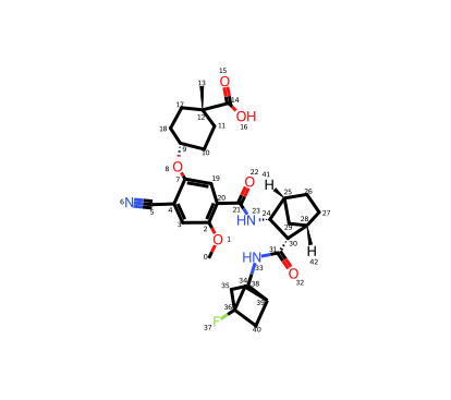 COc1cc(C#N)c(O[C@H]2CC[C@@](C)(C(=O)O)CC2)cc1C(=O)N[C@@H]1[C@@H]2CC[C@@H](C2)[C@@H]1C(=O)NC1CC2(F)CC1C2